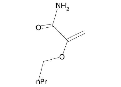 C=C(OCCCC)C(N)=O